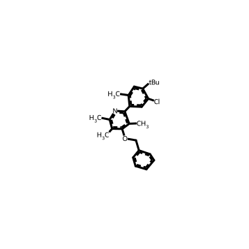 Cc1cc(C(C)(C)C)c(Cl)cc1-c1nc(C)c(C)c(OCc2ccccc2)c1C